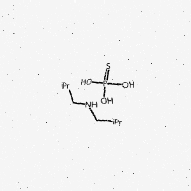 CC(C)CNCC(C)C.OP(O)(O)=S